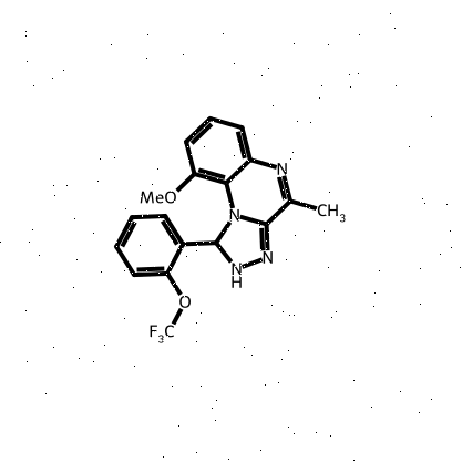 COc1cccc2c1N1C(=NNC1c1ccccc1OC(F)(F)F)C(C)=N2